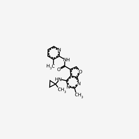 Cc1nc(NC2(C)CC2)c2c(C(=O)Nc3ncccc3C)coc2n1